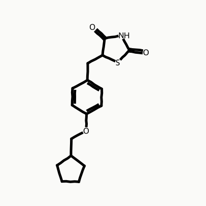 O=C1NC(=O)C(Cc2ccc(OCC3CCCC3)cc2)S1